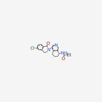 CCC(=O)NC1CCCc2c1cncc2N1CCc2cc(Cl)ccc2C1=O